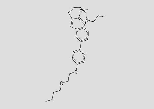 CCCCOCCOc1ccc(-c2ccc3c(c2)/C=C(\C(=O)OC)CCCCN3CCC)cc1